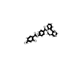 O=C(Nc1ccc(C(=O)N2CCc3cncnc3-c3ccccc32)cc1)c1ccc(Cl)cc1Cl